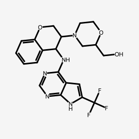 OCC1CN(C2COc3ccccc3C2Nc2ncnc3[nH]c(C(F)(F)F)cc23)CCO1